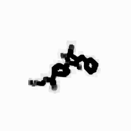 CCOC(=O)c1ccc(N2NC(=O)/C(=C/c3ccccc3)C2=O)cc1